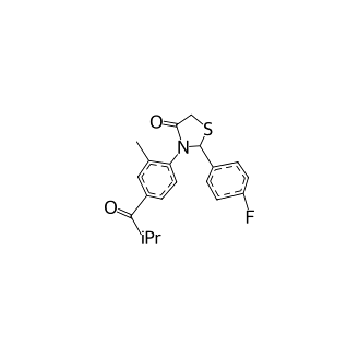 Cc1cc(C(=O)C(C)C)ccc1N1C(=O)CSC1c1ccc(F)cc1